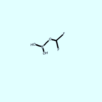 OB(O)OC(F)F